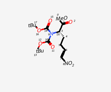 COC(=O)[C@H](CCC=C[N+](=O)[O-])N(C(=O)OC(C)(C)C)C(=O)OC(C)(C)C